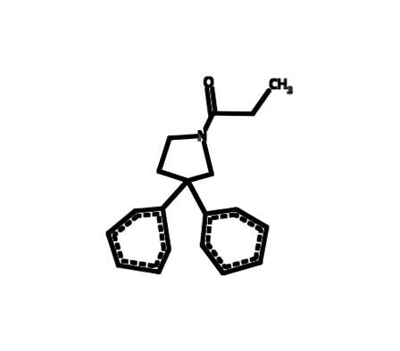 CCC(=O)N1CCC(c2ccccc2)(c2ccccc2)C1